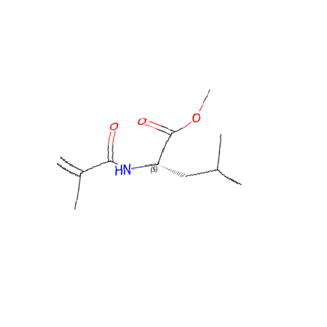 C=C(C)C(=O)N[C@@H](CC(C)C)C(=O)OC